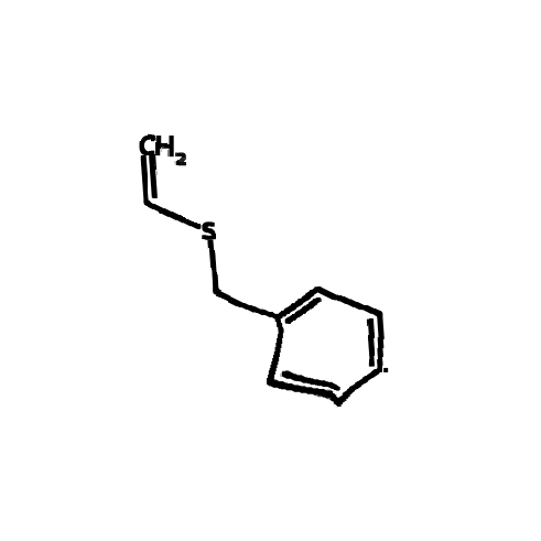 C=CSCc1cc[c]cc1